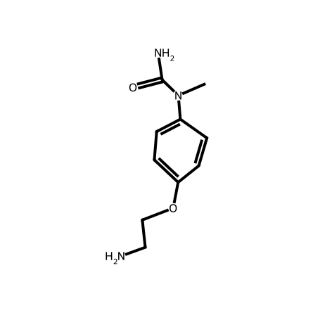 CN(C(N)=O)c1ccc(OCCN)cc1